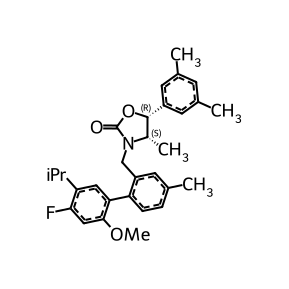 COc1cc(F)c(C(C)C)cc1-c1ccc(C)cc1CN1C(=O)O[C@H](c2cc(C)cc(C)c2)[C@@H]1C